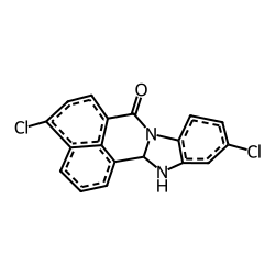 O=C1c2ccc(Cl)c3cccc(c23)C2Nc3cc(Cl)ccc3N12